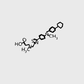 CN(CCC(=O)O)Cc1nc(-c2ccc(N(C)Cc3ccc(C4CCCCC4)cc3)cc2)cs1